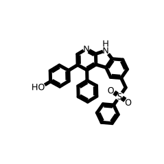 O=S(=O)(Cc1ccc2[nH]c3ncc(-c4ccc(O)cc4)c(-c4ccccc4)c3c2c1)c1ccccc1